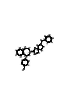 Fc1ccc([C@@H]2CN(C3=NCC4(CCN(Cc5ccccc5)C4)O3)CCc3ccccc32)cc1